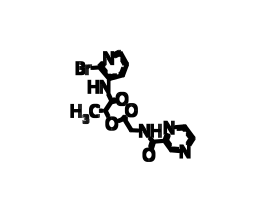 C[C@H](OC(=O)CNC(=O)c1cnccn1)C(=O)Nc1cccnc1Br